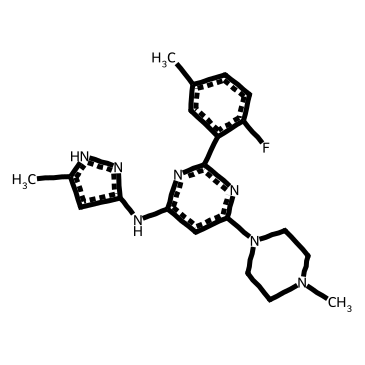 Cc1ccc(F)c(-c2nc(Nc3cc(C)[nH]n3)cc(N3CCN(C)CC3)n2)c1